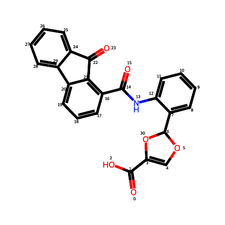 O=C(O)C1=COC(c2ccccc2NC(=O)c2cccc3c2C(=O)c2ccccc2-3)O1